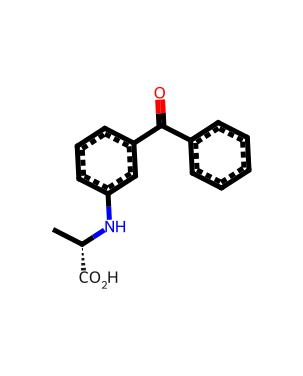 C[C@H](Nc1cccc(C(=O)c2ccccc2)c1)C(=O)O